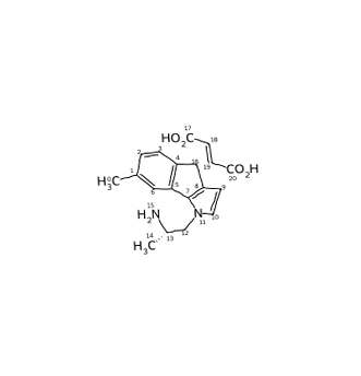 Cc1ccc2c(c1)-c1c(ccn1C[C@H](C)N)C2.O=C(O)/C=C/C(=O)O